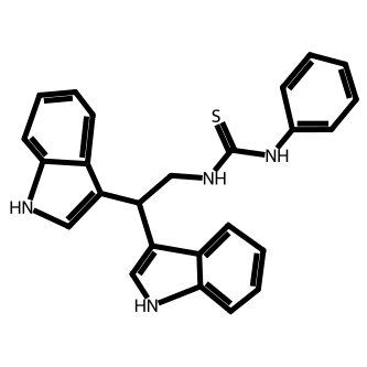 S=C(NCC(c1c[nH]c2ccccc12)c1c[nH]c2ccccc12)Nc1ccccc1